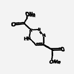 COC(=O)C1=CNN(C(=O)OC)N=N1